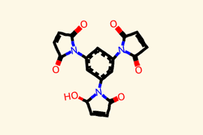 O=C1C=CC(=O)N1c1cc(N2C(=O)C=CC2=O)cc(N2C(=O)C=CC2O)c1